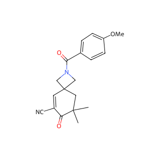 COc1ccc(C(=O)N2CC3(C=C(C#N)C(=O)C(C)(C)C3)C2)cc1